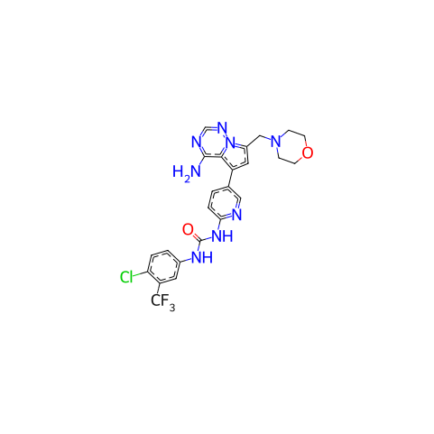 Nc1ncnn2c(CN3CCOCC3)cc(-c3ccc(NC(=O)Nc4ccc(Cl)c(C(F)(F)F)c4)nc3)c12